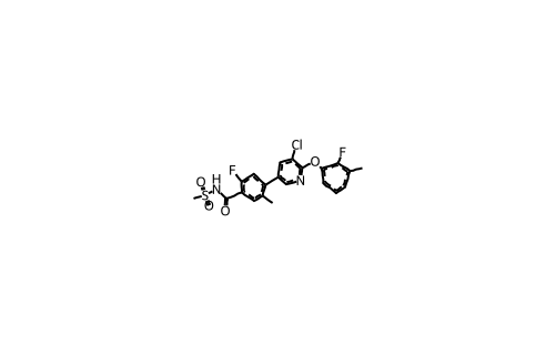 Cc1cc(C(=O)NS(C)(=O)=O)c(F)cc1-c1cnc(Oc2cccc(C)c2F)c(Cl)c1